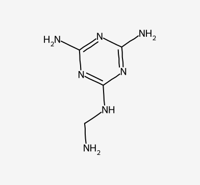 NCNc1nc(N)nc(N)n1